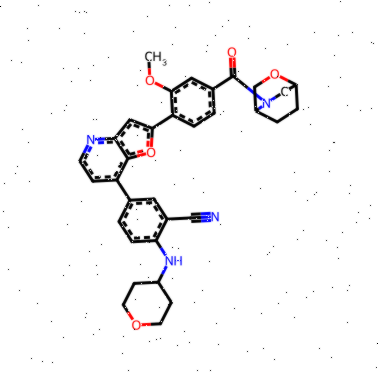 COc1cc(C(=O)N2CC3CCC2CO3)ccc1-c1cc2nccc(-c3ccc(NC4CCOCC4)c(C#N)c3)c2o1